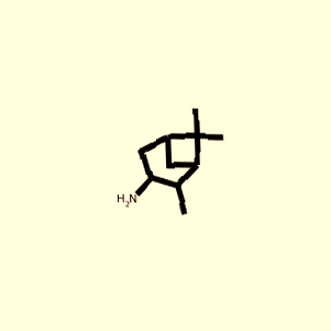 CC1C(N)CC2CC1C2(C)C